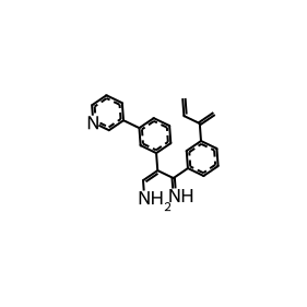 C=CC(=C)c1cccc(C(=N)/C(=C\N)c2cccc(-c3cccnc3)c2)c1